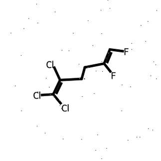 FC=C(F)C[CH]C(Cl)=C(Cl)Cl